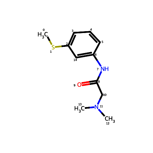 CSc1cccc(NC(=O)CN(C)C)c1